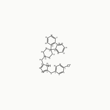 Clc1ccc(Cc2ncc(CN3CCC(c4ccccc4)(c4ccccc4)CC3)[nH]2)cc1